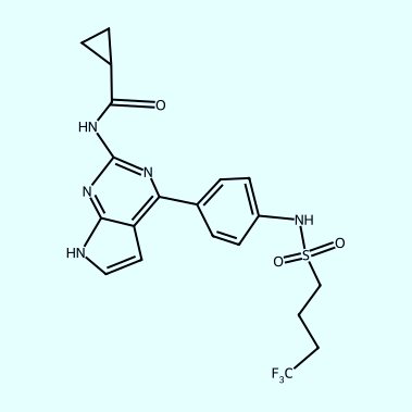 O=C(Nc1nc(-c2ccc(NS(=O)(=O)CCCC(F)(F)F)cc2)c2cc[nH]c2n1)C1CC1